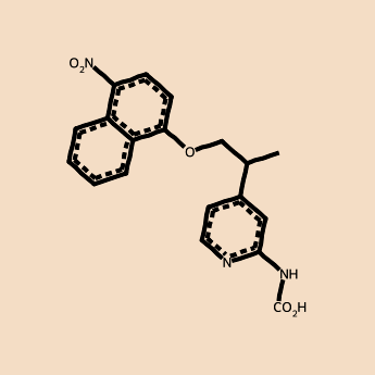 CC(COc1ccc([N+](=O)[O-])c2ccccc12)c1ccnc(NC(=O)O)c1